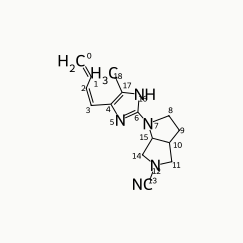 C=C/C=C\c1nc(N2CCC3CN(C#N)CC32)[nH]c1C